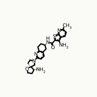 Cc1ccc2c(N)c(C(=O)N[C@H]3CCc4nc(N5CC[C@@]6(C5)OCC[C@H]6N)ccc4C3)sc2n1